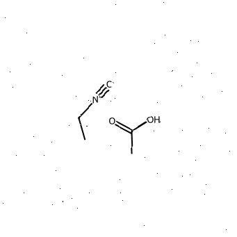 CC(=O)O.[C-]#[N+]CC